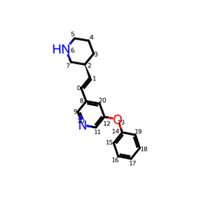 C(=C[C@@H]1CCCNC1)c1cncc(Oc2ccccc2)c1